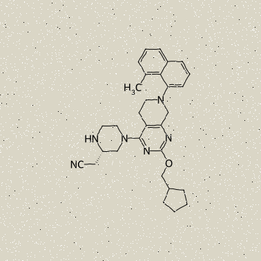 Cc1cccc2cccc(N3CCc4c(nc(OCC5CCCC5)nc4N4CCN[C@@H](CC#N)C4)C3)c12